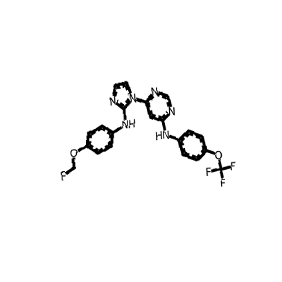 FCOc1ccc(Nc2nccn2-c2cc(Nc3ccc(OC(F)(F)F)cc3)ncn2)cc1